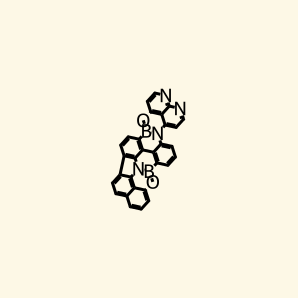 c1cc2c3c(c1)N1B(Oc4ccnc5nccc1c45)c1ccc4c5ccc6cccc7c6c5n(c4c1-3)B2O7